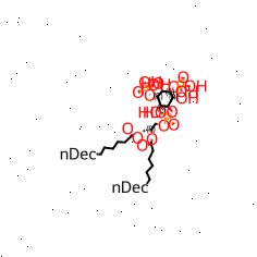 CCCCCCCCCCCCCCCC(=O)OC[C@H](COP(=O)(O)OC1[C@H](O)[C@H](OP(=O)(O)O)C(O)[C@H](OP(=O)(O)O)[C@H]1O)OC(=O)CCCCCCCCCCCCCCC